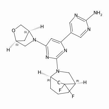 Nc1ncc(-c2cc(N3C[C@@H]4C[C@H]3CO4)nc(N3C[C@H]4CCC[C@@H]3CC4(F)F)n2)cn1